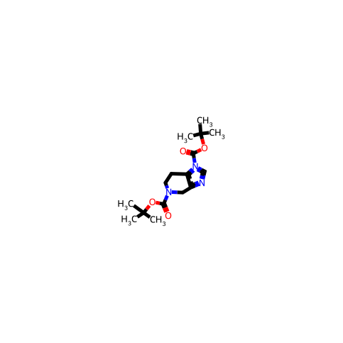 CC(C)(C)OC(=O)N1CCc2c(ncn2C(=O)OC(C)(C)C)C1